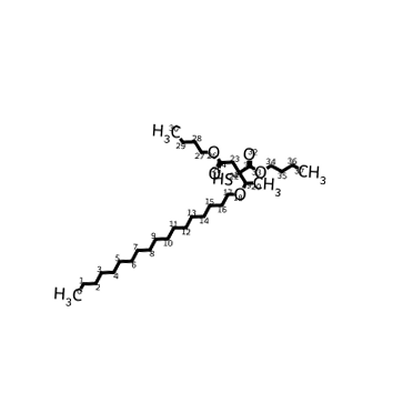 CCCCCCCCCCCCCCCCCCOC(C)[C@@](S)(CC(=O)OCCCC)C(=O)OCCCC